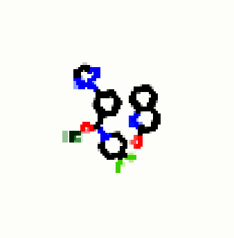 Cl.O=C(c1cccc(-n2nccn2)c1)N1CCC(F)(F)[C@@H](Oc2ccc3ccccc3n2)C1